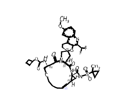 COc1ccc2nc(C(F)F)c3c(c2c1)CC[C@]1(C[C@H]2C(=O)N[C@]4(C(=O)NS(=O)(=O)C5(C)CC5)C[C@H]4/C=C\CCCCC[C@H](NC(=O)OC4CCC4)C(=O)N2C1)O3